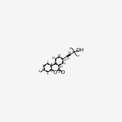 Cc1ccc2c(c1)oc(=O)c1cc(C#CC(C)(C)O)ccc12